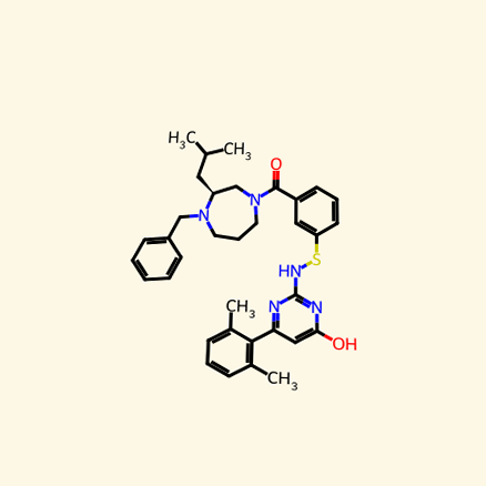 Cc1cccc(C)c1-c1cc(O)nc(NSc2cccc(C(=O)N3CCCN(Cc4ccccc4)[C@@H](CC(C)C)C3)c2)n1